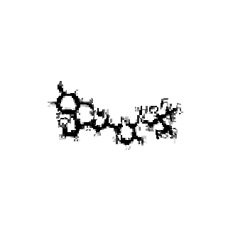 CC1C=C(Cn2nc(-c3ncc(F)c(N(C)CC(O)(C(F)(F)F)C(F)(F)F)n3)cc2-c2ccon2)C(F)=CC1